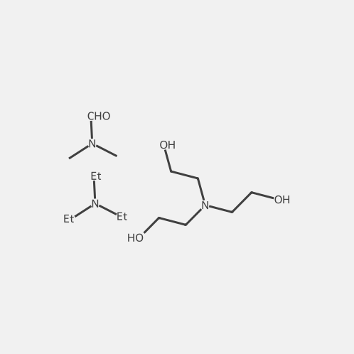 CCN(CC)CC.CN(C)C=O.OCCN(CCO)CCO